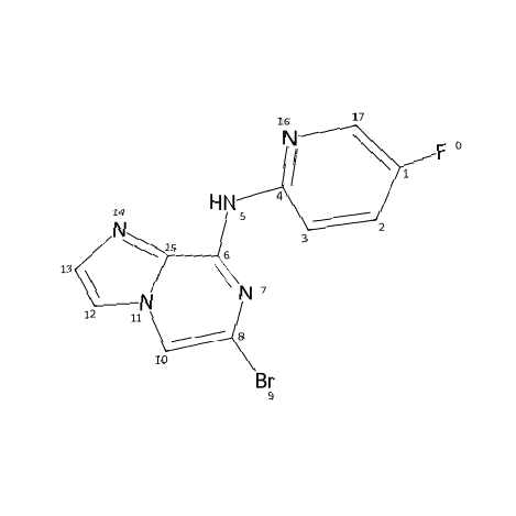 Fc1ccc(Nc2nc(Br)cn3ccnc23)nc1